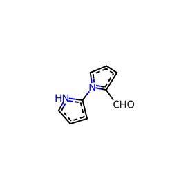 O=Cc1cccn1-c1ccc[nH]1